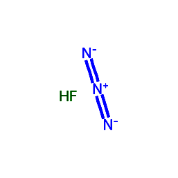 F.[N-]=[N+]=[N-]